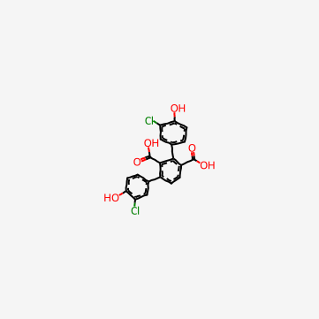 O=C(O)c1ccc(-c2ccc(O)c(Cl)c2)c(C(=O)O)c1-c1ccc(O)c(Cl)c1